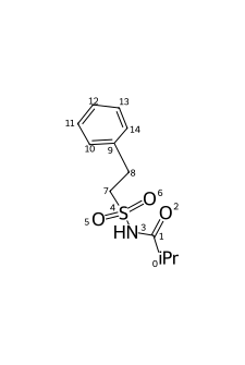 CC(C)C(=O)NS(=O)(=O)CCc1ccccc1